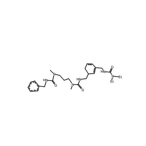 CCN(CC)C(=O)NCC1=CC(CNC(=O)N(C)CCCN(C)C(=O)NCc2ccccc2)CC=C1